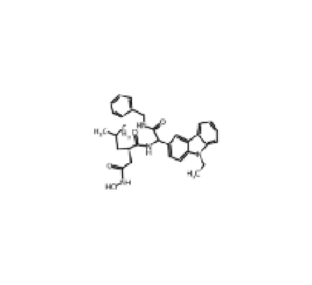 CCn1c2ccccc2c2cc(C(NC(=O)[C@@H](CC(=O)NO)CC(C)C)C(=O)NCc3ccccc3)ccc21